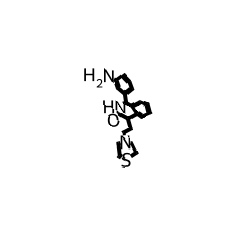 Nc1cccc(C2NC(=O)C(CCN3CCSCC3)c3ccccc32)c1